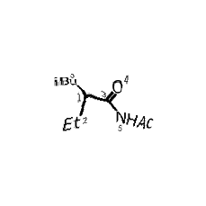 CCC(C)C(CC)C(=O)NC(C)=O